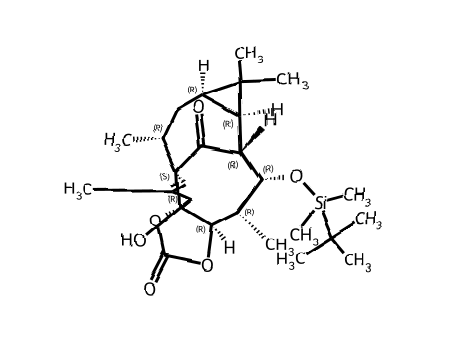 CC1=C[C@]23C(=O)[C@@H]([C@H](O[Si](C)(C)C(C)(C)C)[C@H](C)[C@H]4OC(=O)O[C@]42C1O)[C@H]1[C@@H](C[C@H]3C)C1(C)C